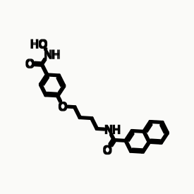 O=C(NO)c1ccc(OCCCCNC(=O)c2ccc3ccccc3c2)cc1